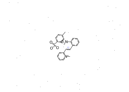 C[n+]1ccccc1/C=C/c1ccccc1[N+](=O)[O-].Cc1ccc(S(=O)(=O)[O-])cc1